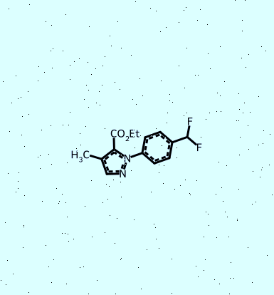 CCOC(=O)c1c(C)cnn1-c1ccc(C(F)F)cc1